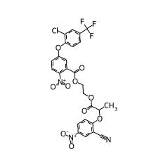 CC(Oc1ccc([N+](=O)[O-])cc1C#N)C(=O)OCCOC(=O)c1cc(Oc2ccc(C(F)(F)F)cc2Cl)ccc1[N+](=O)[O-]